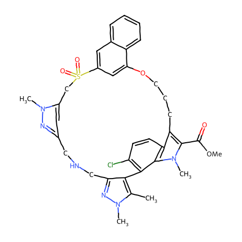 COC(=O)c1c2c3ccc(Cl)c(c3n1C)-c1c(nn(C)c1C)CNCc1cc(n(C)n1)CS(=O)(=O)c1cc(c3ccccc3c1)OCCC2